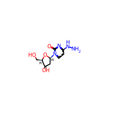 NNc1ccn([C@H]2C[C@@H](O)[C@@H](CO)O2)c(=O)n1